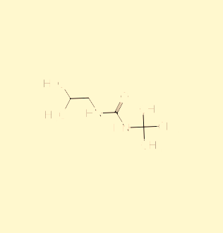 CC(C)CNC(=O)NC(C)(C)C